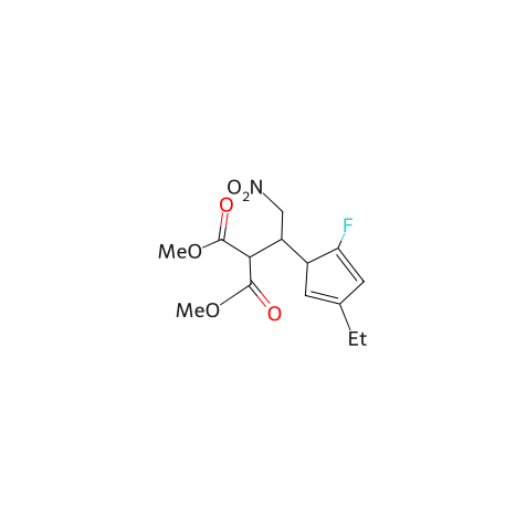 CCC1=CC(C(C[N+](=O)[O-])C(C(=O)OC)C(=O)OC)C(F)=C1